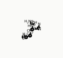 Cc1c(COc2cc(OCc3cncc(C#N)c3)c(CNC(CC(N)=O)C(=O)O)cc2Cl)cccc1-c1ccc2c(c1)OCCO2